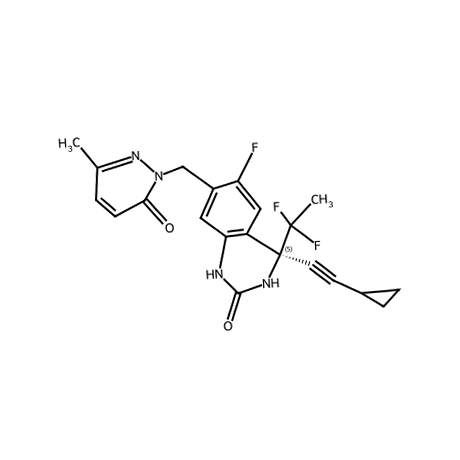 Cc1ccc(=O)n(Cc2cc3c(cc2F)[C@@](C#CC2CC2)(C(C)(F)F)NC(=O)N3)n1